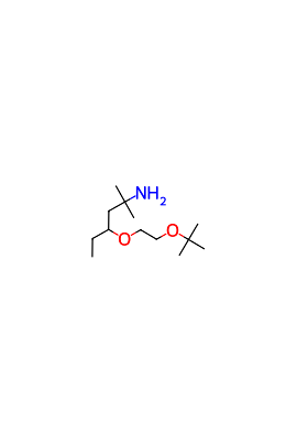 CCC(CC(C)(C)N)OCCOC(C)(C)C